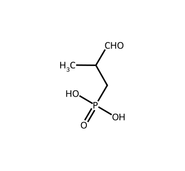 CC(C=O)CP(=O)(O)O